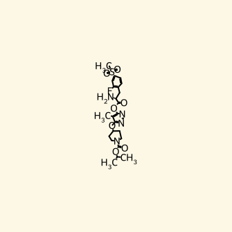 Cc1c(OC(=O)[C@@H](N)Cc2ccc(S(C)(=O)=O)cc2F)ncnc1OC1CCN(C(=O)OC(C)C)CC1